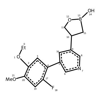 CCOc1cc(-c2cncc(C3COB(O)C3)c2)c(F)cc1OC